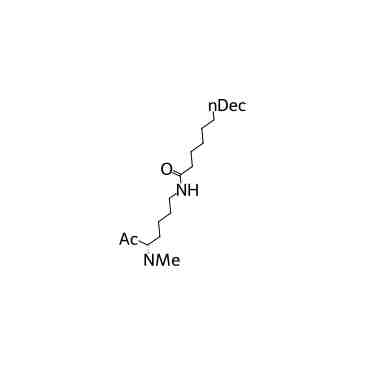 CCCCCCCCCCCCCCCC(=O)NCCCC[C@H](NC)C(C)=O